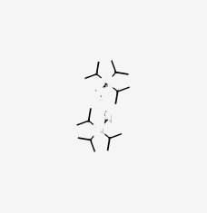 CC(C)[Si](N=C=N[Si](C(C)C)(C(C)C)C(C)C)(C(C)C)C(C)C